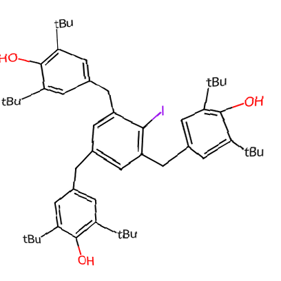 CC(C)(C)c1cc(Cc2cc(Cc3cc(C(C)(C)C)c(O)c(C(C)(C)C)c3)c(I)c(Cc3cc(C(C)(C)C)c(O)c(C(C)(C)C)c3)c2)cc(C(C)(C)C)c1O